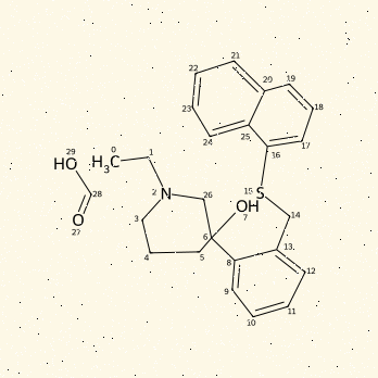 CCN1CCCC(O)(c2ccccc2CSc2cccc3ccccc23)C1.O=CO